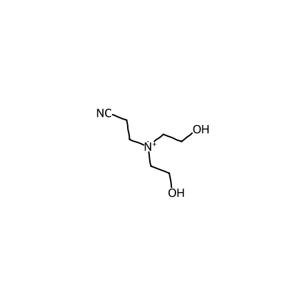 N#CCC[N+](CCO)CCO